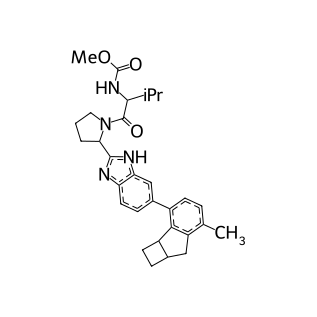 COC(=O)NC(C(=O)N1CCCC1c1nc2ccc(-c3ccc(C)c4c3C3CCC3C4)cc2[nH]1)C(C)C